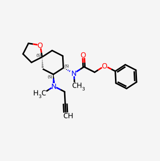 C#CCN(C)[C@H]1C[C@@]2(CCCO2)CC[C@@H]1N(C)C(=O)COc1ccccc1